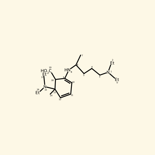 CCN(CC)CCCC(C)NC1=CC=CC(C)(N(CC)CC)C1C(=O)O